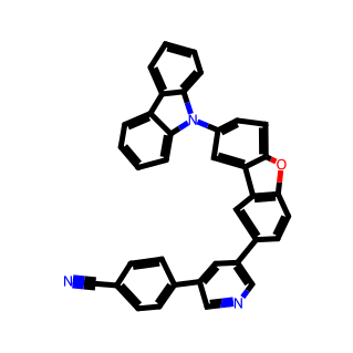 N#Cc1ccc(-c2cncc(-c3ccc4oc5ccc(-n6c7ccccc7c7ccccc76)cc5c4c3)c2)cc1